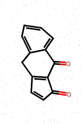 O=C1C=CC2=C1C(=O)c1ccccc1C2